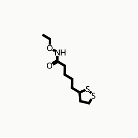 CCONC(=O)CCCCC1CCSS1